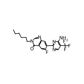 CCCCCCn1cnc2cc(-c3ncc(C(F)(F)F)c(N)n3)c(F)cc2c1=O